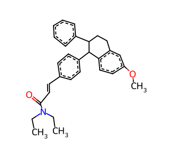 CCN(CC)C(=O)/C=C/c1ccc(C2c3ccc(OC)cc3CCC2c2ccccc2)cc1